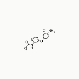 Nc1ccc(Oc2ccnc(NC(=O)C3CC3)c2)cc1Cl